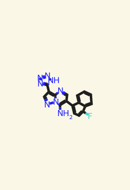 Nc1c(-c2ccc(F)c3ccccc23)cnc2c(-c3nnn[nH]3)cnn12